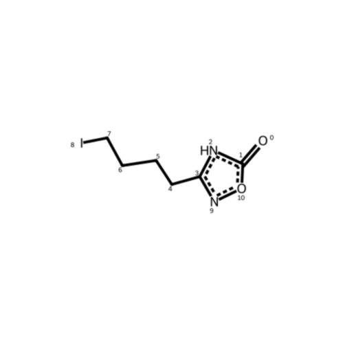 O=c1[nH]c(CCCCI)no1